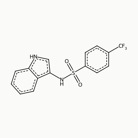 O=S(=O)(Nc1c[nH]c2ccccc12)c1ccc(C(F)(F)F)cc1